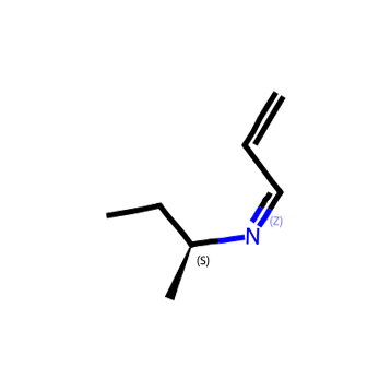 C=C/C=N\[C@@H](C)CC